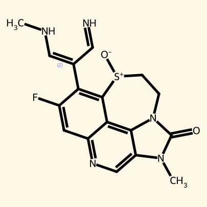 CN/C=C(\C=N)c1c(F)cc2ncc3c4c2c1[S+]([O-])CCn4c(=O)n3C